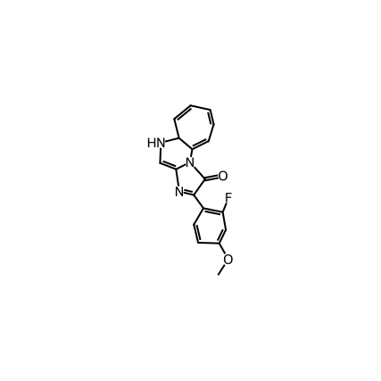 COc1ccc(C2=NC3=CNC4C=CC=CC=C4N3C2=O)c(F)c1